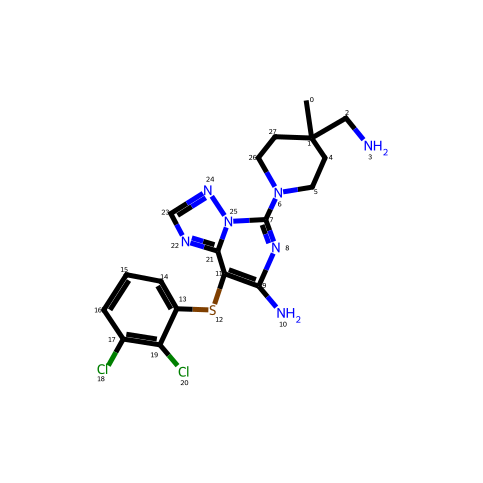 CC1(CN)CCN(c2nc(N)c(Sc3cccc(Cl)c3Cl)c3ncnn23)CC1